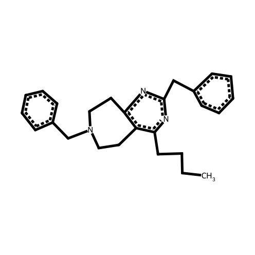 CCCCc1nc(Cc2ccccc2)nc2c1CCN(Cc1ccccc1)CC2